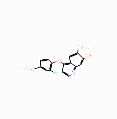 CNc1ccc(Oc2ccnc3cc(O)c(OC)cc23)c(F)c1